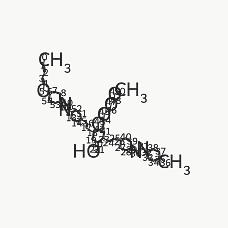 CC#CC#COc1ccc(/N=N/c2ccc(/C=C/c3cc(CO)c(/C=C/c4ccc(/N=N/c5ccc(C)cc5)cc4)cc3OCOCOCOC)cc2)cc1